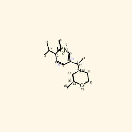 CCC(/C=C\C(=C/N)[C@@H](C)N1CCO[C@@H](C)C1)C(C)C